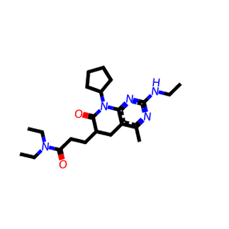 CCNc1nc(C)c2c(n1)N(C1CCCC1)C(=O)C(CCC(=O)N(CC)CC)C2